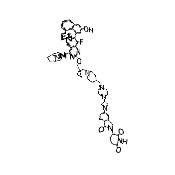 CCc1cccc2cc(O)cc(-c3ncc4c(N5CC6CCC(C5)N6)nc(OCC5(CN6CCC(CN7CCN(C8CN(c9ccc%10c(c9)CN(C9CCC(=O)NC9=O)C%10=O)C8)CC7)CC6)CC5)nc4c3F)c12